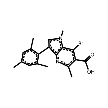 Cc1cc(C)c(-c2cn(C)c3c(Br)c(C(=O)O)c(C)nc23)c(C)c1